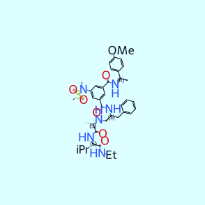 CCNC(=O)[C@@H](NC(=O)[C@H](C)NC[C@H](Cc1ccccc1)NC(=O)c1cc(C(=O)N[C@H](C)c2ccc(OC)cc2)cc(N(C)S(C)(=O)=O)c1)C(C)C